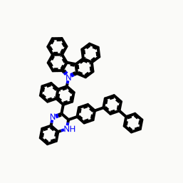 c1ccc(-c2cccc(-c3ccc(C4Nc5ccccc5N=C4c4ccc(-n5c6ccc7ccccc7c6c6c7ccccc7ccc65)c5ccccc45)cc3)c2)cc1